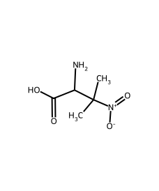 CC(C)(C(N)C(=O)O)[N+](=O)[O-]